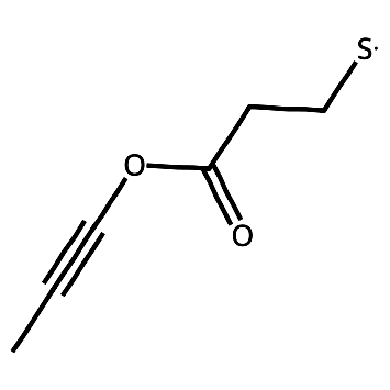 CC#COC(=O)CC[S]